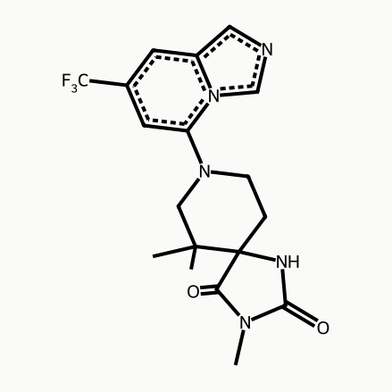 CN1C(=O)NC2(CCN(c3cc(C(F)(F)F)cc4cncn34)CC2(C)C)C1=O